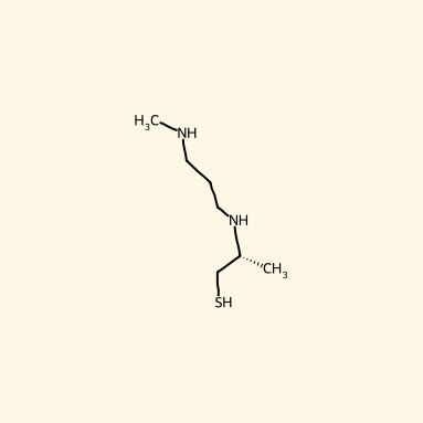 CNCCCN[C@H](C)CS